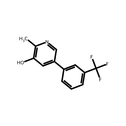 Cc1ncc(-c2cccc(C(F)(F)F)c2)cc1O